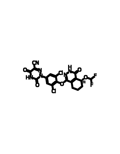 N#Cc1nn(-c2cc(Cl)c(Oc3n[nH]c(=O)c4c3CCC[C@@H]4OC(F)F)c(Cl)c2)c(=O)[nH]c1=O